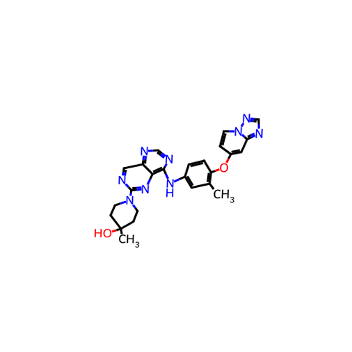 Cc1cc(Nc2ncnc3cnc(N4CCC(C)(O)CC4)nc23)ccc1Oc1ccn2ncnc2c1